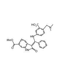 COC(=O)c1ccc2c(c1)NC(=O)C2=C(Nc1ccc(CN(C)C)c(C(=O)O)c1)c1ccccc1